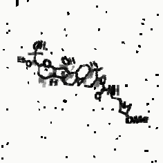 CCO[C@@H](C1C[C@@H](C)[C@H]2C(O1)[C@H](O)[C@@]1(C)C3CC[C@H]4C(C)(C)[C@@H](OC(=O)NCCN5CC(OC)C5)CC[C@@]45C[C@@]35CC[C@]21C)C(C)(C)O